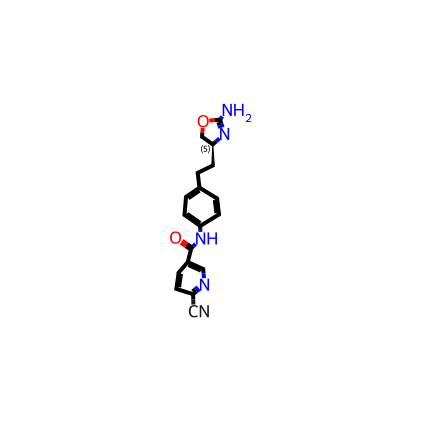 N#Cc1ccc(C(=O)Nc2ccc(CC[C@H]3COC(N)=N3)cc2)cn1